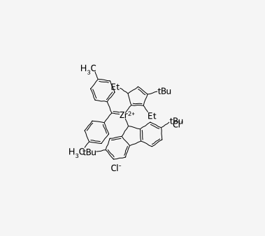 CCC1=[C]([Zr+2](=[C](c2ccc(C)cc2)c2ccc(C)cc2)[CH]2c3cc(C(C)(C)C)ccc3-c3ccc(C(C)(C)C)cc32)C(CC)C=C1C(C)(C)C.[Cl-].[Cl-]